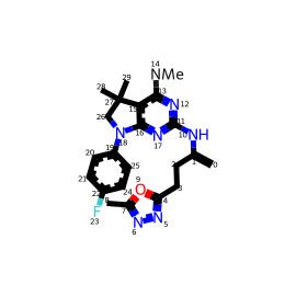 C=C(CCc1nnc(C)o1)Nc1nc(NC)c2c(n1)N(c1ccc(F)cc1)CC2(C)C